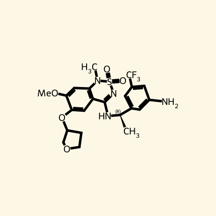 COc1cc2c(cc1OC1CCOC1)C(N[C@H](C)c1cc(N)cc(C(F)(F)F)c1)=NS(=O)(=O)N2C